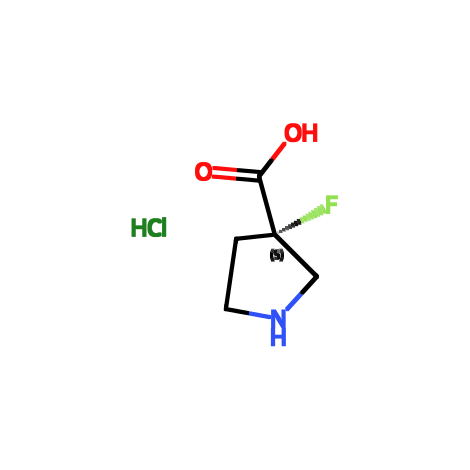 Cl.O=C(O)[C@]1(F)CCNC1